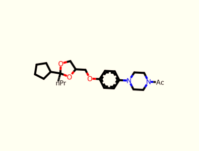 CCCC1(C2CCCC2)OCC(COc2ccc(N3CCN(C(C)=O)CC3)cc2)O1